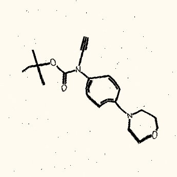 C#CN(C(=O)OC(C)(C)C)c1ccc(N2CCOCC2)cc1